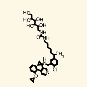 CC(CCCCCNC(=O)NCC(O)C(O)C(O)C(O)CO)c1ccc(Cl)c(CNC2(c3cnccc3-c3ccccc3OC3CC3)CC2)c1